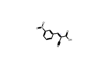 N#C/C(=C\c1cccc([N+](=O)[O-])c1)C(=O)O